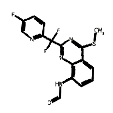 CSc1nc(C(F)(F)c2ccc(F)cn2)nc2c(NC=O)cccc12